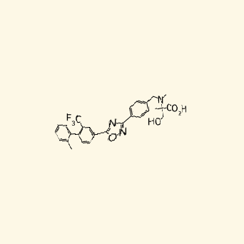 Cc1ccccc1-c1ccc(-c2nc(-c3ccc(CN(C)C(C)(CO)C(=O)O)cc3)no2)cc1C(F)(F)F